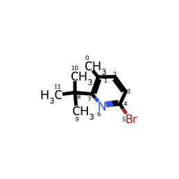 Cc1ccc(Br)nc1C(C)(C)C